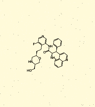 N[C@@H](C(=O)Nc1cncc(F)c1CC[C@@H]1CN[C@H](CO)CO1)[C@@H](c1ccccc1)c1ccnc2ccccc12